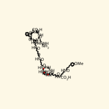 COc1ccc(CCCC(=O)NCCCCC(NC(=O)CCCC(=O)NC23CNCCNCC(NC(=O)CCCC(=O)NCCOCCCC(=O)NCCCCC4NC(=O)[C@@H](Cc5ccccc5)NC(=O)[C@H](CC(=O)O)NC(=O)CNC(=O)[C@H](CCCNC(=N)N)NC4=O)(CNCCNC2)CNCCNC3)C(=O)O)cc1